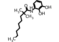 CCCCCCCC(C)(C)C(=O)Nc1cccc(O)c1O